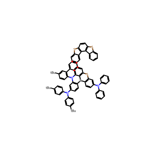 CC(C)(C)c1ccc(N(c2ccc(C(C)(C)C)cc2)c2ccc3c(c2)N(c2ccc(C(C)(C)C)cc2-c2ccccc2)c2cc(-c4ccc5sc6ccc7sc8ccccc8c7c6c5c4)cc4c2B3c2ccc(N(c3ccccc3)c3ccccc3)cc2S4)cc1